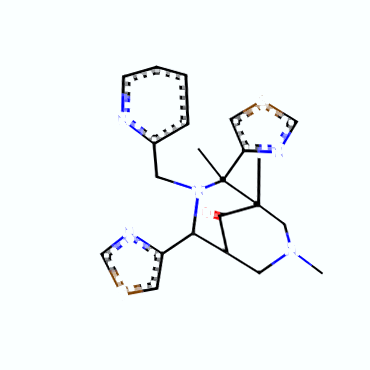 CN1CC2C(=O)C(C)(C1)C(C)(c1cscn1)N(Cc1ccccn1)C2c1cscn1